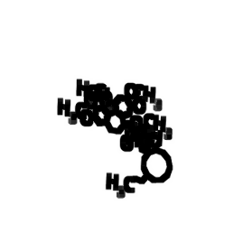 CCCC1CCCCCCCC(C[C@H](NC(C)=O)C(=O)NC2CCc3cc(OC)c(OC)c(OC)c3-c3ccc(OC)c(=O)cc32)(C(=O)O)CC1